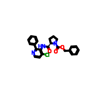 O=C(Nc1c(Cl)ccnc1-c1ccccc1)[C@@H]1CCCN1C(=O)OCc1ccccc1